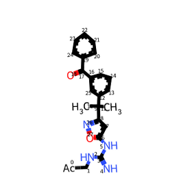 CC(=O)CNC(=N)Nc1cc(C(C)(C)c2cccc(C(=O)c3ccccc3)c2)no1